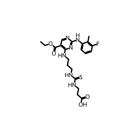 CCOC(=O)c1cnc(Nc2cccc(F)c2C)nc1NCCCNC(=S)NCCC(=O)O